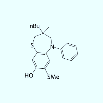 CCCCC1(C)CSc2cc(O)c(SC)cc2N(c2ccccc2)C1